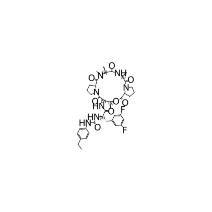 CCc1ccc(NC(=O)N[C@@H](Cc2cc(F)cc(F)c2)C(=O)N[C@@H]2C(=O)N3CCCC3C(=O)N(C)[C@@H](C)C(=O)N[C@@H](C)C(=O)N3CCCC3C(=O)O[C@H]2C)cc1